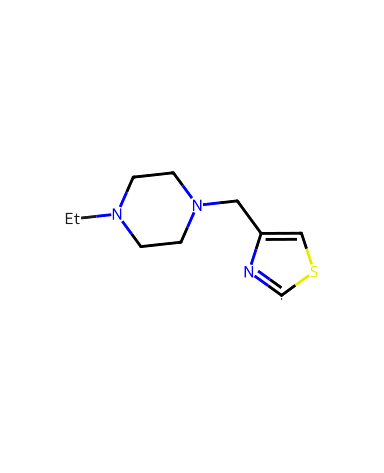 CCN1CCN(Cc2cs[c]n2)CC1